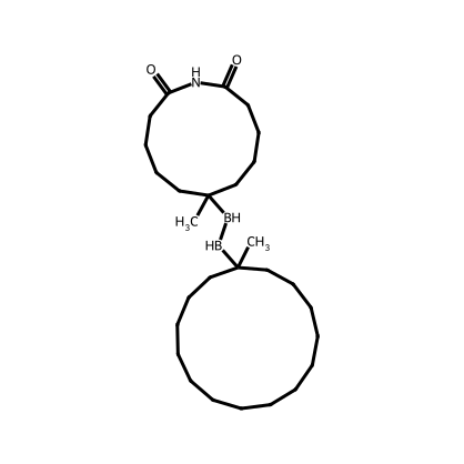 CC1(BBC2(C)CCCCC(=O)NC(=O)CCCC2)CCCCCCCCCCCCCC1